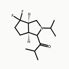 CC(C)C(=O)C1[C@H]2CCC(F)(F)[C@H]2CN1C(C)C